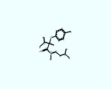 Cc1ccc(OC(C)(C(=O)N(C)CCC(C)C)C(C)C)cc1